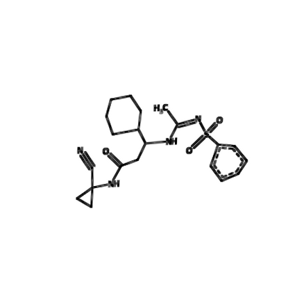 CC(=NS(=O)(=O)c1ccccc1)NC(CC(=O)NC1(C#N)CC1)C1CCCCC1